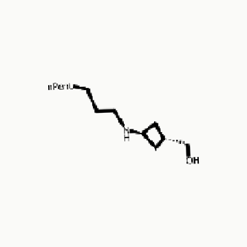 CCCCCCCCN[C@H]1C[C@H](CO)C1